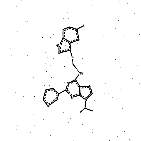 CC(C)n1cnc2c(NCCc3c[nH]c4ccc(I)cc34)nc(-c3cccnc3)nc21